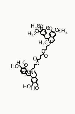 COc1cc(CC2c3cc(CO)c(CO)cc3CC[N+]2(C)CCCOC(=O)CCC(=O)OCCC[N+]2(C)CCc3cc(OC)c(OC)cc3C2Cc2ccc(OC)c(OC)c2)ccc1CO